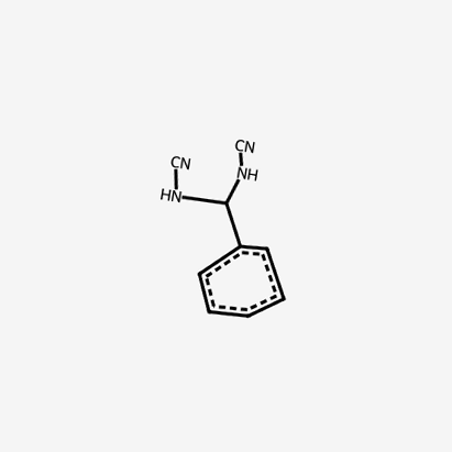 N#CNC(NC#N)c1ccccc1